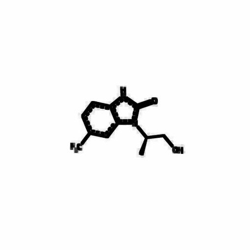 C[C@H](CO)n1c(=O)[nH]c2ccc(C(F)(F)F)cc21